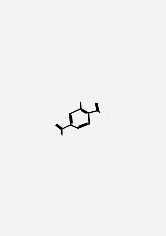 COC(=O)c1ccc(C(=O)Cl)cc1Cl